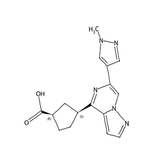 Cn1cc(-c2cn3nccc3c([C@H]3CC[C@@H](C(=O)O)C3)n2)cn1